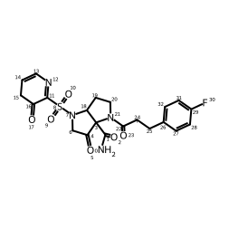 NC(=O)C12C(=O)CN(S(=O)(=O)C3=NC=CCC3=O)C1CCN2C(=O)[CH]Cc1ccc(F)cc1